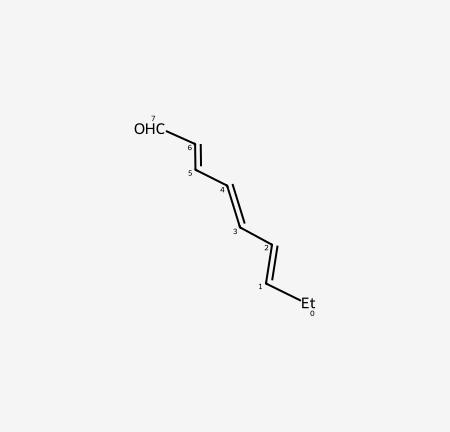 CCC=CC=CC=CC=O